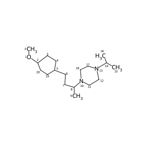 COC1CCC(CCC(C)N2CCN(C(C)C)CC2)CC1